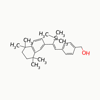 CC1(C)CCC(C)(C)c2cc(C(=Cc3ccc(CO)cc3)[Si](C)(C)C)ccc21